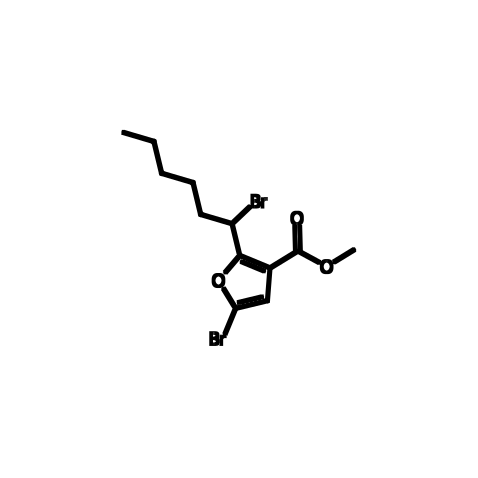 CCCCCC(Br)c1oc(Br)cc1C(=O)OC